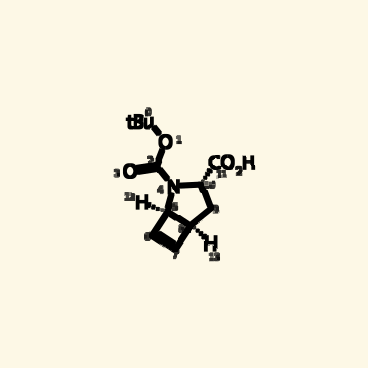 CC(C)(C)OC(=O)N1[C@@H]2C=C[C@@H]2C[C@H]1C(=O)O